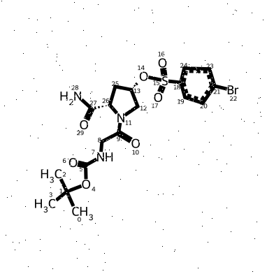 CC(C)(C)OC(=O)NCC(=O)N1C[C@@H](OS(=O)(=O)c2ccc(Br)cc2)C[C@H]1C(N)=O